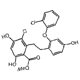 COC(=O)c1c(O)cc(O)c(Cl)c1CCc1ccc(O)cc1Oc1ccccc1Cl